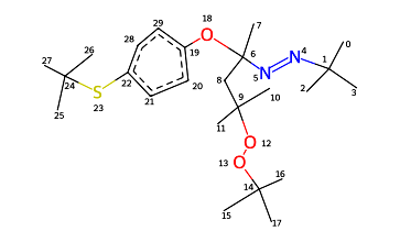 CC(C)(C)N=NC(C)(CC(C)(C)OOC(C)(C)C)Oc1ccc(SC(C)(C)C)cc1